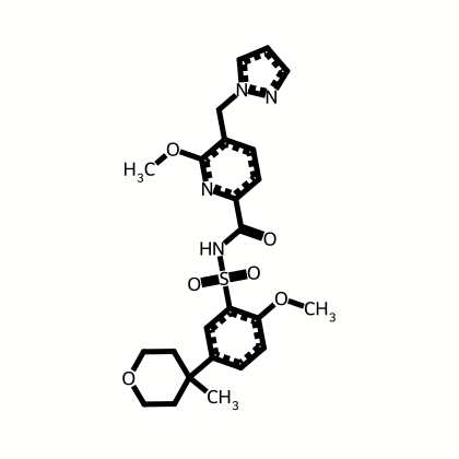 COc1ccc(C2(C)CCOCC2)cc1S(=O)(=O)NC(=O)c1ccc(Cn2cccn2)c(OC)n1